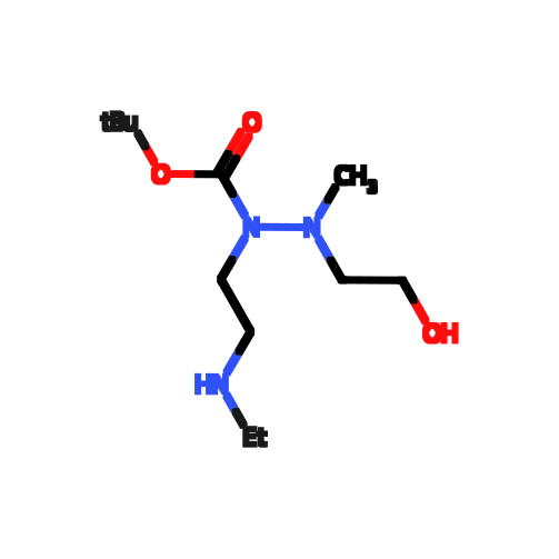 CCNCCN(C(=O)OC(C)(C)C)N(C)CCO